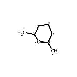 CC1CCCC(C)O1